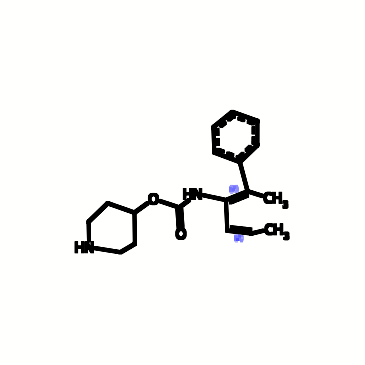 C/C=C\C(NC(=O)OC1CCNCC1)=C(/C)c1ccccc1